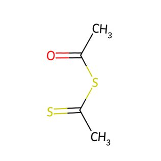 CC(=O)SC(C)=S